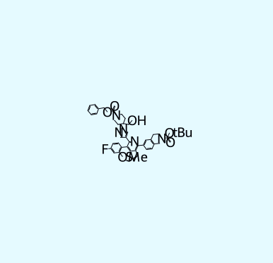 COc1cc(F)ccc1-c1c(-c2cnn(C3(CO)CCN(C(=O)OCc4ccccc4)CC3)c2)nc(-c2ccc3c(c2)CCN(C(=O)OC(C)(C)C)C3)c2ccsc12